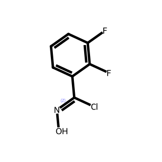 O/N=C(\Cl)c1cccc(F)c1F